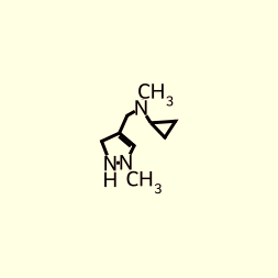 CN1C=C(CN(C)C2CC2)CN1